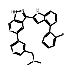 CN(C)Cc1cncc(-c2cc3c(-c4cc5c(-c6ccccc6F)cccc5[nH]4)n[nH]c3cn2)c1